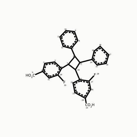 O=C(O)c1ccc(C2C(c3ccccc3)C(c3ccccc3)C2c2ccc(C(=O)O)cc2F)c(F)c1